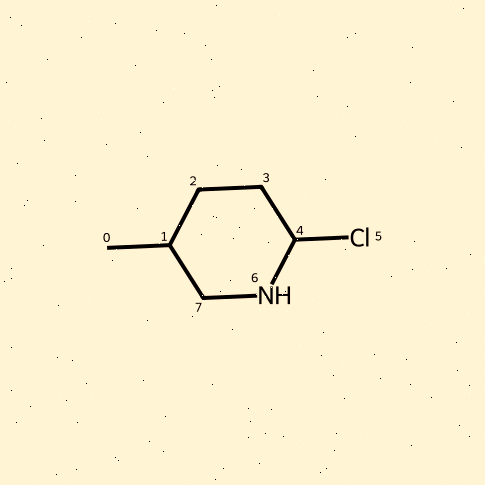 CC1CCC(Cl)NC1